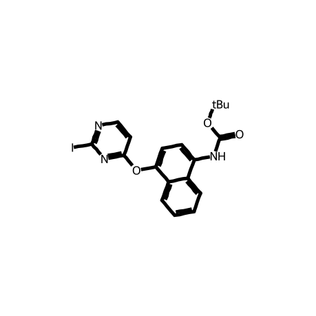 CC(C)(C)OC(=O)Nc1ccc(Oc2ccnc(I)n2)c2ccccc12